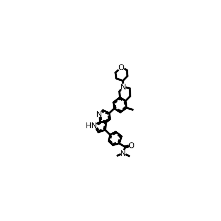 Cc1cc(-c2cnc3[nH]cc(-c4ccc(C(=O)N(C)C)cc4)c3c2)cc2c1CCN(C1CCOCC1)C2